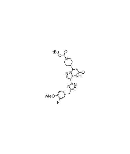 COc1ccc(Cc2nc(-c3cnn4c(C5CCN(C(=O)OC(C)(C)C)CC5)cc(=O)[nH]c34)no2)cc1F